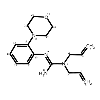 C=CCN(CC=C)/C(N)=N/c1ccccc1N1CCOCC1